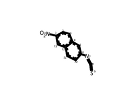 O=[N+]([O-])c1ccc2cc(N=C=S)ccc2c1